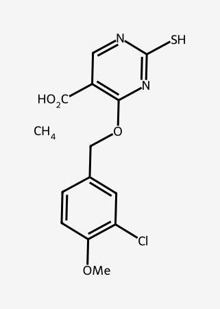 C.COc1ccc(COc2nc(S)ncc2C(=O)O)cc1Cl